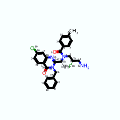 Cc1ccc(C(=O)N(C[C@@H](F)CN)[C@@H](c2nc3cc(Cl)ccc3c(=O)n2Cc2ccccc2)C(C)C)cc1